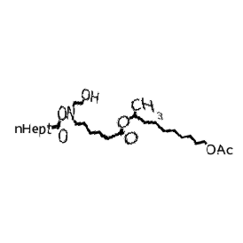 CCCCCCCC(=O)ON(CCO)CCCCCC(=O)OC(C)CCCCCCCCOC(C)=O